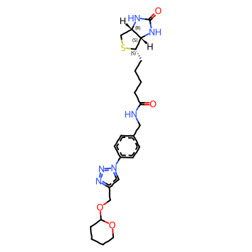 O=C(CCCC[C@@H]1SC[C@@H]2NC(=O)N[C@@H]21)NCc1ccc(-n2cc(COC3CCCCO3)nn2)cc1